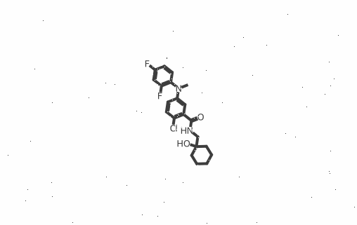 CN(c1ccc(Cl)c(C(=O)NCC2(O)CCCCC2)c1)c1ccc(F)cc1F